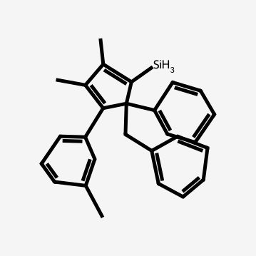 CC1=C([SiH3])C(Cc2ccccc2)(c2ccccc2)C(c2cccc(C)c2)=C1C